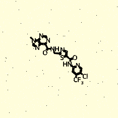 Cn1cnc2c(C(=O)NCc3ncc(C(=O)Nc4cc(C(F)(F)F)c(Cl)cn4)s3)ncnc21